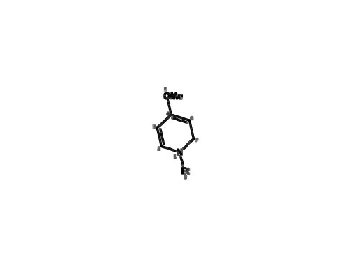 CCN1C=CC(OC)=CC1